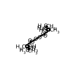 Cc1cc(CCC(=O)OCCOCCOCCOC(=O)CCc2cc(C)cc(C(C)(C)C)c2O)c(O)c(C(C)(C)C)c1